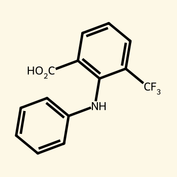 O=C(O)c1cccc(C(F)(F)F)c1Nc1ccccc1